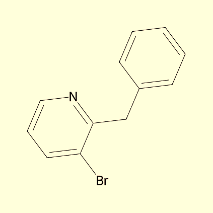 Brc1cccnc1Cc1ccccc1